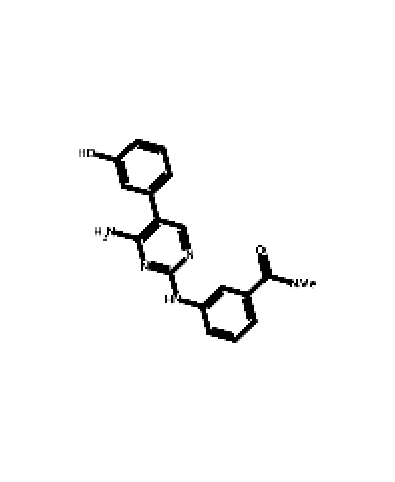 CNC(=O)c1cccc(Nc2ncc(-c3cccc(O)c3)c(N)n2)c1